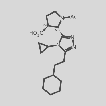 CC(=O)N1CC[C@H](C(=O)O)[C@H]1c1nnc(CCC2CCCCC2)n1C1CC1